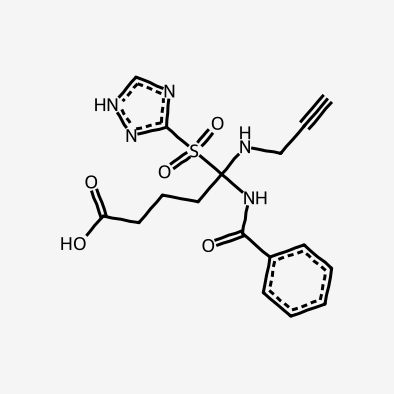 C#CCNC(CCCC(=O)O)(NC(=O)c1ccccc1)S(=O)(=O)c1nc[nH]n1